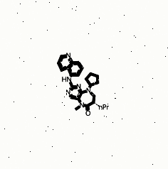 CCC[C@H]1CN(C2CCCC2)c2nc(Nc3cccc4ncccc34)ncc2N(C)C1=O